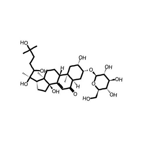 CC(C)(O)CCC(O)[C@](C)(O)[C@H]1CC[C@@]2(O)C3=CC(=O)[C@@H]4C[C@@H](O[C@@H]5O[C@H](CO)[C@@H](O)[C@H](O)[C@H]5O)[C@@H](O)C[C@]4(C)[C@H]3CC[C@]12C